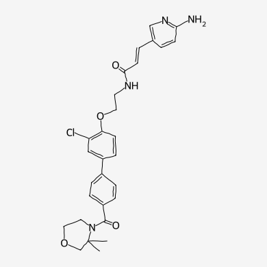 CC1(C)COCCN1C(=O)c1ccc(-c2ccc(OCCNC(=O)C=Cc3ccc(N)nc3)c(Cl)c2)cc1